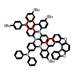 CC(C)(C)c1ccc(N(c2ccc(C(C)(C)C)cc2)c2ccc3c(c2)N(c2ccc(C(C)(C)C)cc2-c2ccccc2)c2cc(-c4ccc5oc6ccc7oc8ccccc8c7c6c5c4)cc4c2B3c2ccc(N(c3ccccc3)c3ccccc3)cc2N4c2ccc(C(C)(C)C)cc2-c2ccccc2)cc1